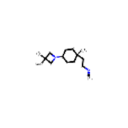 C=NCC[C@]1(C)CC[C@@H](N2CC(OC)(C(F)(F)F)C2)CC1